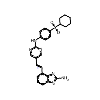 Nc1nc2c(/C=C/c3cnc(Nc4ccc(S(=O)(=O)C5CCCCC5)cc4)nc3)cccc2s1